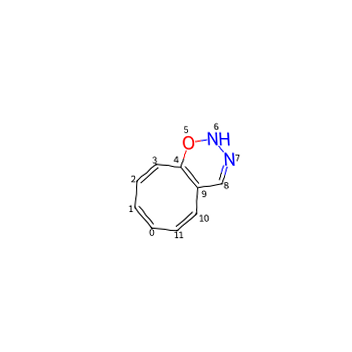 c1cccc2o[nH]ncc=2cc1